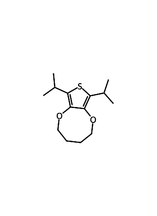 CC(C)c1sc(C(C)C)c2c1OCCCCO2